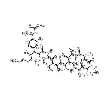 C/C=C/C[C@@H](C)[C@@H](O)[C@@H](C(=O)N[C@@H](CC)C(=O)N(C)CC(=O)OC)N(C)C(=O)[C@H](C(C)C)N(C)C(=O)[C@H](CC(C)C)N(C)C(=O)[C@H](CC(C)C)N(C)C(=O)[C@@H](C)NC(=O)[C@H](C)NC(=O)[C@H](CC(C)C)N(C)C(=O)[C@@H](N)C(C)C